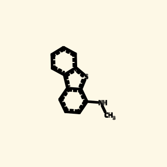 CNc1cccc2c1sc1ccccc12